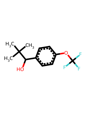 CC(C)(C)C(O)c1ccc(OC(F)(F)F)cc1